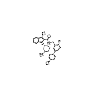 CC[C@H]1CC[C@H](N(Cc2cc(-c3ccc(Cl)cc3)ccc2F)C(=O)c2sc3ccccc3c2Cl)CC1